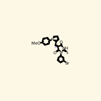 COc1ccc(-n2cccc2/C=C2\C(=O)NC(=S)N(c3cccc(Br)c3)C2=O)cc1